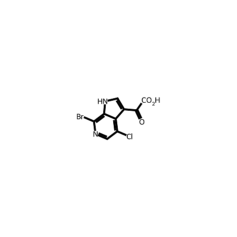 O=C(O)C(=O)c1c[nH]c2c(Br)ncc(Cl)c12